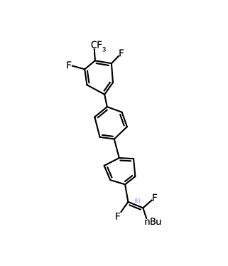 CCCC/C(F)=C(\F)c1ccc(-c2ccc(-c3cc(F)c(C(F)(F)F)c(F)c3)cc2)cc1